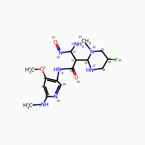 CNc1cc(OC)c(NC(=O)C(C(N)N=O)C2NCC(F)CN2C)cn1